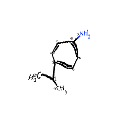 C[C](C)c1ccc(N)cc1